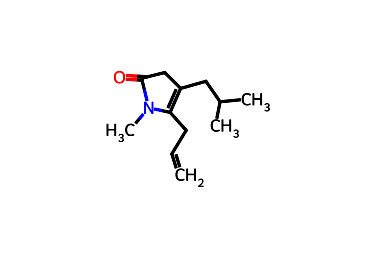 C=CCC1=C(CC(C)C)CC(=O)N1C